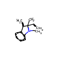 C=CC1(C)C(=C)c2ccccc2N1C